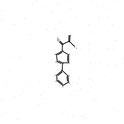 C=C(I)C(=O)c1ccc(-c2ccccc2)cc1